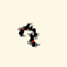 O=S(=O)(O)c1cc(Nc2nc(Cl)nc(NCc3cccc(Nc4nc(Cl)nc(Nc5cc(S(=O)(=O)O)cc6cc(S(=O)(=O)O)c(/N=N/c7ccc8c(S(=O)(=O)O)cccc8c7S(=O)(=O)O)c(O)c56)n4)c3)n2)c2c(O)c(/N=N/c3ccc4c(S(=O)(=O)O)cccc4c3S(=O)(=O)O)c(S(=O)(=O)O)cc2c1